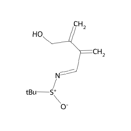 C=C(/C=N/[S+]([O-])C(C)(C)C)C(=C)CO